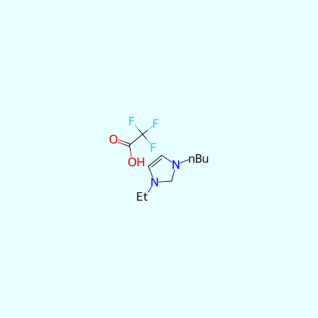 CCCCN1C=CN(CC)C1.O=C(O)C(F)(F)F